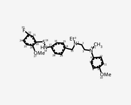 CCN(CCN(C)c1ccc(OC)cc1)Cc1ccc(NSc2cc(F)ccc2OC)cc1